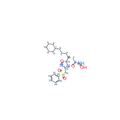 O=C(C[C@@H](CCCC1CCCCC1)c1nc(CS(=O)(=O)c2ccccc2)no1)NO